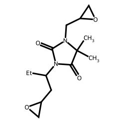 CCC(CC1CO1)N1C(=O)N(CC2CO2)C(C)(C)C1=O